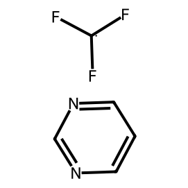 F[C](F)F.c1cncnc1